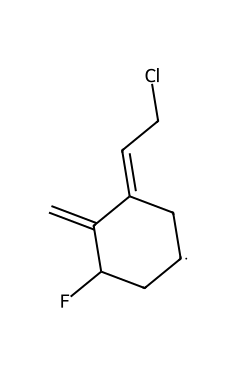 C=C1C(=CCCl)C[CH]CC1F